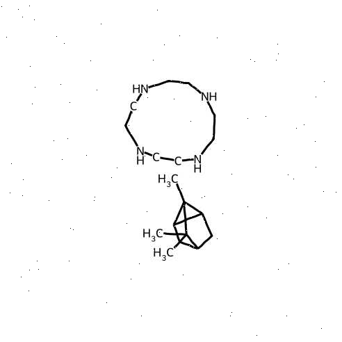 C1CNCCNCCNCCN1.CC1(C)C2CC3C(C2)C31C